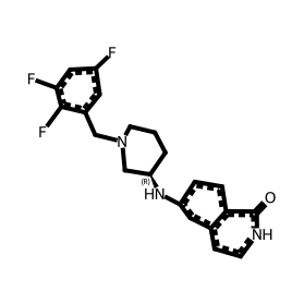 O=c1[nH]ccc2cc(N[C@@H]3CCCN(Cc4cc(F)cc(F)c4F)C3)ccc12